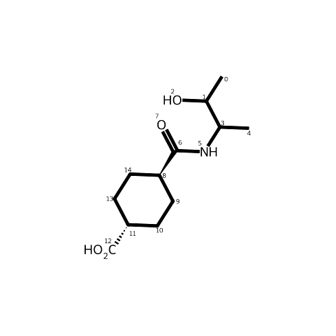 CC(O)C(C)NC(=O)[C@H]1CC[C@H](C(=O)O)CC1